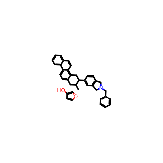 CC1Cc2ccc3c(ccc4ccccc43)c2CC1c1ccc2c(c1)CN(Cc1ccccc1)C2.Oc1ccoc1